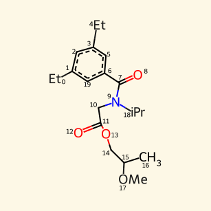 CCc1cc(CC)cc(C(=O)N(CC(=O)OCC(C)OC)C(C)C)c1